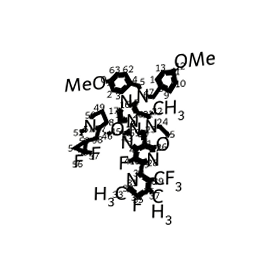 COc1ccc(CN(Cc2ccc(OC)cc2)c2nccnc2[C@@H](C)N2CCOc3nc(-c4nc(C)c(F)c(C)c4C(F)(F)F)c(F)c4nc(OC[C@@]56CCCN5C[C@]5(CC5(F)F)C6)nc2c34)cc1